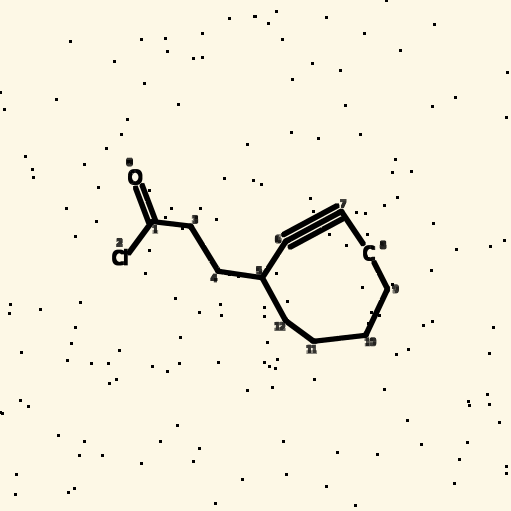 O=C(Cl)CCC1C#CCCCCC1